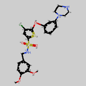 COc1ccc(CNS(=O)(=O)c2cc(Cl)c(Oc3cccc(N4CCNCC4)c3)s2)cc1OC